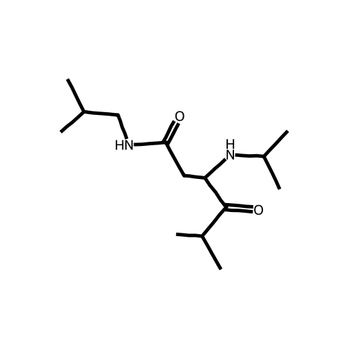 CC(C)CNC(=O)CC(NC(C)C)C(=O)C(C)C